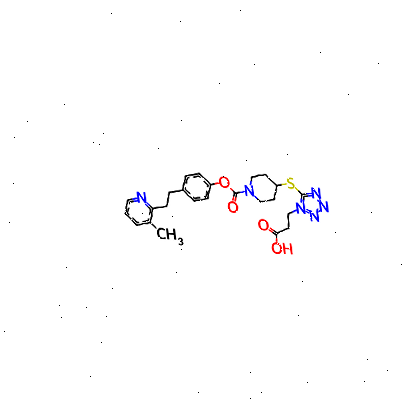 Cc1cccnc1CCc1ccc(OC(=O)N2CCC(Sc3nnnn3CCC(=O)O)CC2)cc1